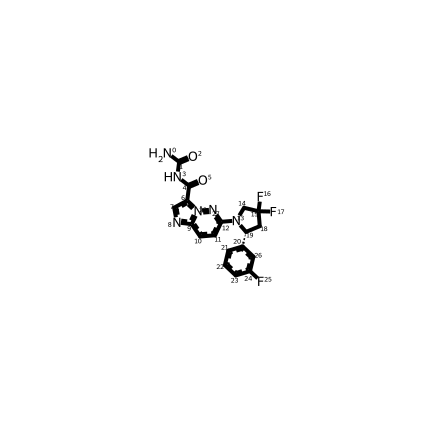 NC(=O)NC(=O)c1cnc2ccc(N3CC(F)(F)C[C@@H]3c3cccc(F)c3)nn12